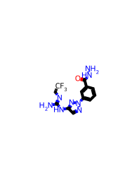 NNC(=O)c1cccc(-n2ncc(NC(N)=NCC(F)(F)F)n2)c1